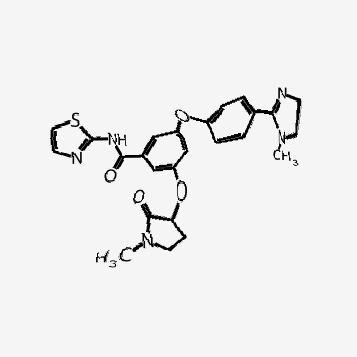 CN1CCC(Oc2cc(Oc3ccc(C4=NCCN4C)cc3)cc(C(=O)Nc3nccs3)c2)C1=O